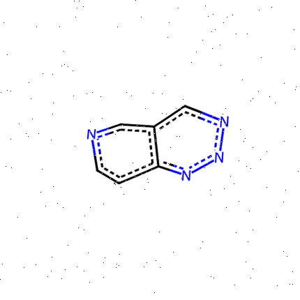 [c]1cncc2cnnnc12